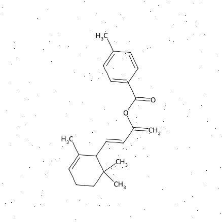 C=C(C=CC1C(C)=CCCC1(C)C)OC(=O)c1ccc(C)cc1